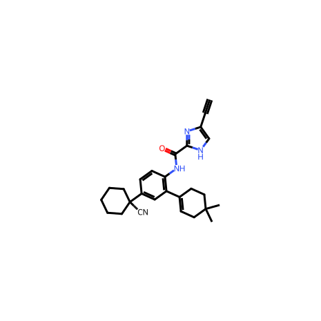 C#Cc1c[nH]c(C(=O)Nc2ccc(C3(C#N)CCCCC3)cc2C2=CCC(C)(C)CC2)n1